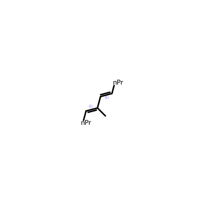 CCC/C=C/C(C)=C/CCC